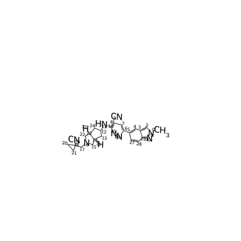 Cn1cc2cc(-c3cc(C#N)c(NC4C[C@@H]5CN(CC6(C#N)CC6)C[C@@H]5C4)nn3)ccc2n1